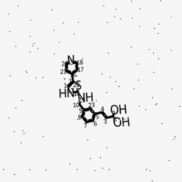 OC(O)/C=C/c1cccc(CNC2NC=C(c3ccncc3)S2)c1